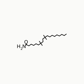 CCCCCCCCCC(C)(C)CCC(C)(C)CCCCCC(N)=O